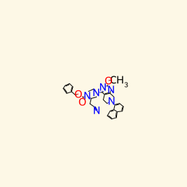 COc1nc2c(c(N3CCN(C(=O)OCc4ccccc4)C(CC#N)C3)n1)CCN(c1cccc3ccccc13)C2